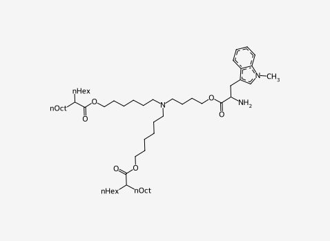 CCCCCCCCC(CCCCCC)C(=O)OCCCCCCN(CCCCCCOC(=O)C(CCCCCC)CCCCCCCC)CCCCOC(=O)C(N)Cc1cn(C)c2ccccc12